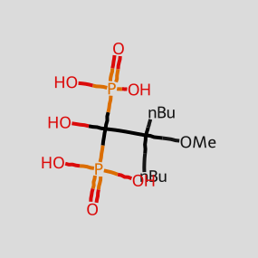 CCCCC(CCCC)(OC)C(O)(P(=O)(O)O)P(=O)(O)O